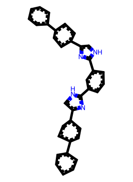 c1ccc(-c2ccc(-c3c[nH]c(-c4cccc(-c5nc(-c6ccc(-c7ccccc7)cc6)c[nH]5)c4)n3)cc2)cc1